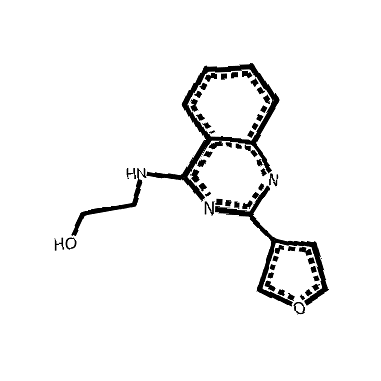 OCCNc1nc(-c2ccoc2)nc2ccccc12